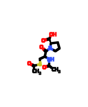 CC(=O)NC(CSC(C)=O)C(=O)N1CCC[C@H]1C(=O)O